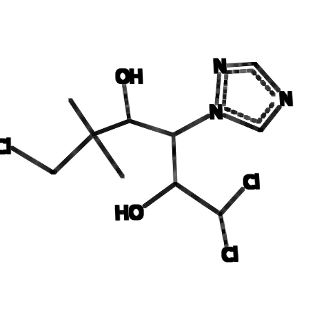 CC(C)(CCl)C(O)C(C(O)C(Cl)Cl)n1cncn1